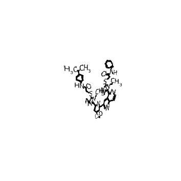 CCn1c(SCC(=O)Nc2ccc(C(C)C)cc2)nnc1-c1cc2c(c(-c3cnc4ccnc(-c5nnc(SCC(=O)Nc6ccccc6)n5CC)c4c3)n1)OCO2